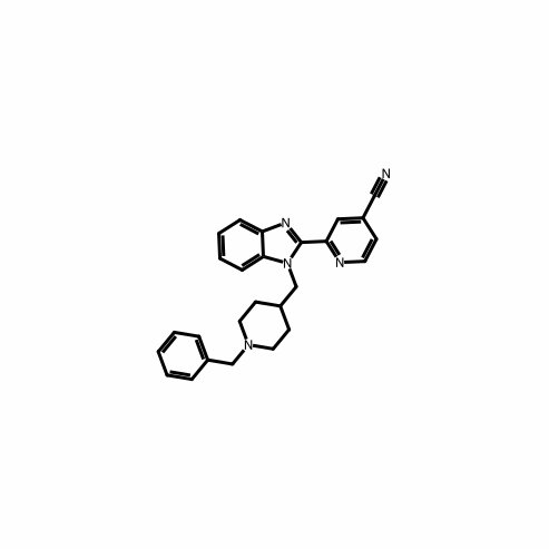 N#Cc1ccnc(-c2nc3ccccc3n2CC2CCN(Cc3ccccc3)CC2)c1